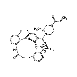 C=CC(=O)N1CCN(c2nc(=O)n3c4nc(c(F)cc24)-c2c(F)cccc2NC(=O)CCc2ccnc(C(C)C)c2-3)[C@@H](C)C1